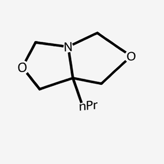 CCCC12COCN1COC2